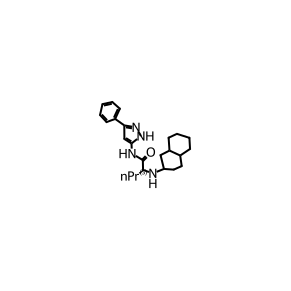 CCC[C@H](NC1CCC2CCCCC2C1)C(=O)Nc1cc(-c2ccccc2)n[nH]1